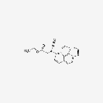 CCOC(=O)CC(C#N)c1ccc2ccc3cccc4ccc1c2c34